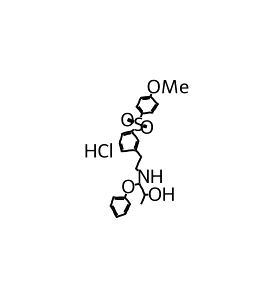 COc1ccc(S(=O)(=O)c2cccc(CCNC(Oc3ccccc3)C(C)O)c2)cc1.Cl